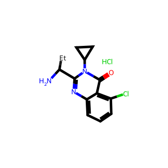 CCC(N)c1nc2cccc(Cl)c2c(=O)n1C1CC1.Cl